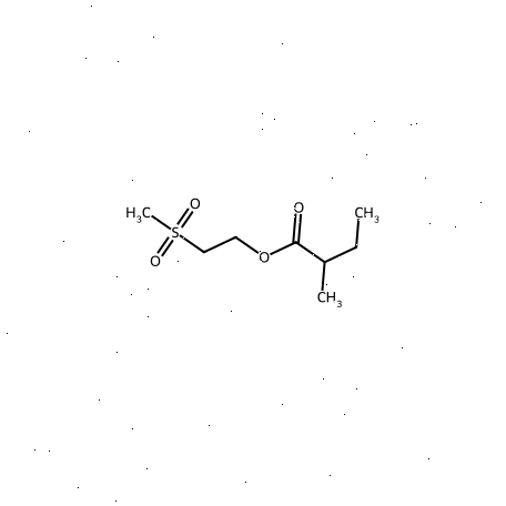 CCC(C)C(=O)OCCS(C)(=O)=O